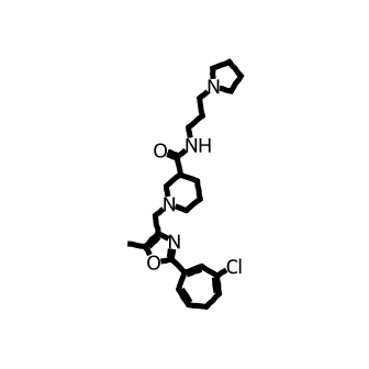 Cc1oc(C2=CC(Cl)=CCC=C2)nc1CN1CCCC(C(=O)NCCCN2CCCC2)C1